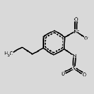 CCCc1ccc([N+](=O)[O-])c(N=S(=O)=O)c1